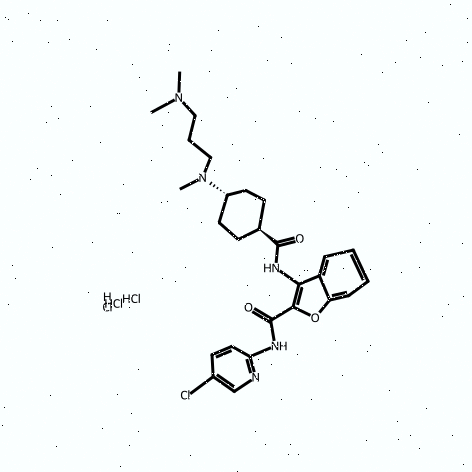 CN(C)CCCN(C)[C@H]1CC[C@H](C(=O)Nc2c(C(=O)Nc3ccc(Cl)cn3)oc3ccccc23)CC1.Cl.Cl.Cl